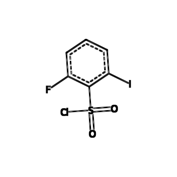 O=S(=O)(Cl)c1c(F)cccc1I